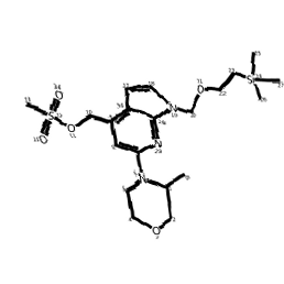 CC1COCCN1c1cc(COS(C)(=O)=O)c2ccn(COCC[Si](C)(C)C)c2n1